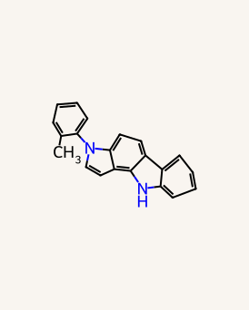 Cc1ccccc1-n1ccc2c3[nH]c4ccccc4c3ccc21